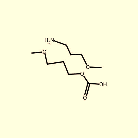 COCCCN.COCCCOC(=O)O